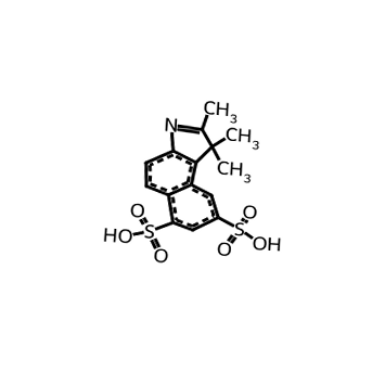 CC1=Nc2ccc3c(S(=O)(=O)O)cc(S(=O)(=O)O)cc3c2C1(C)C